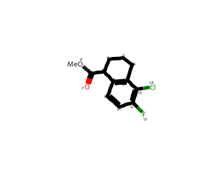 COC(=O)C1CCCc2c1ccc(F)c2Cl